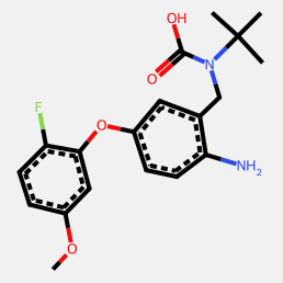 COc1ccc(F)c(Oc2ccc(N)c(CN(C(=O)O)C(C)(C)C)c2)c1